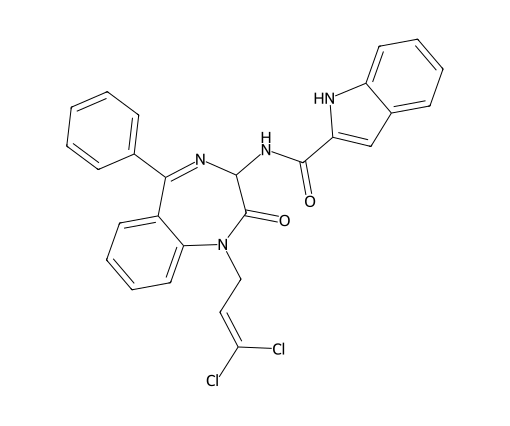 O=C(NC1N=C(c2ccccc2)c2ccccc2N(CC=C(Cl)Cl)C1=O)c1cc2ccccc2[nH]1